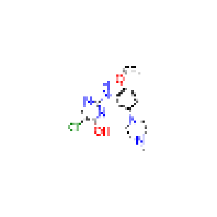 CN1CCN(c2ccc(OC(F)(F)F)c(Nc3ncc(Cl)c(O)n3)c2)CC1